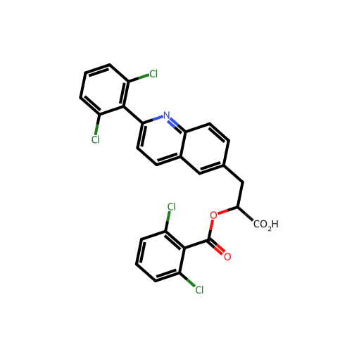 O=C(OC(Cc1ccc2nc(-c3c(Cl)cccc3Cl)ccc2c1)C(=O)O)c1c(Cl)cccc1Cl